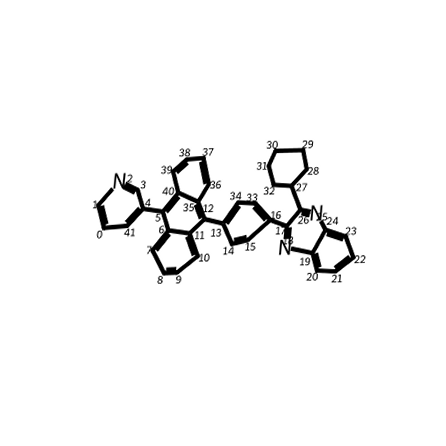 c1cncc(-c2c3ccccc3c(-c3ccc(-c4nc5ccccc5nc4C4CCCCC4)cc3)c3ccccc23)c1